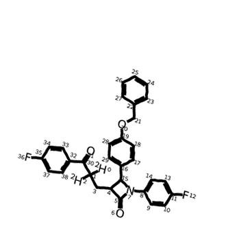 [2H]C([2H])(CC1C(=O)N(c2ccc(F)cc2)C1c1ccc(OCc2ccccc2)cc1)C(=O)c1ccc(F)cc1